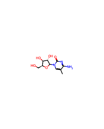 Cc1cn(C2O[C@@H](CO)[C@@H](O)[C@@H]2O)c(=O)nc1N